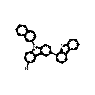 Brc1ccc2c(c1)c1cc(-c3cccc4c3sc3ccccc34)ccc1n2-c1ccc2ccccc2c1